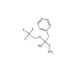 CO[Si](O)(Cc1ccccc1)OCC(F)(F)F